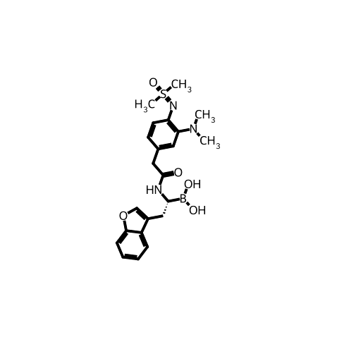 CN(C)c1cc(CC(=O)N[C@@H](Cc2coc3ccccc23)B(O)O)ccc1N=S(C)(C)=O